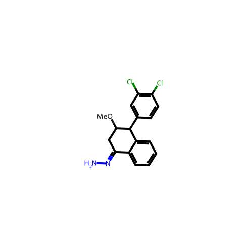 COC1CC(=NN)c2ccccc2C1c1ccc(Cl)c(Cl)c1